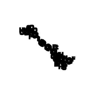 CCc1cc(Nc2ncc(Br)c(Nc3cnc4cc(F)ccc4c3P(C)(C)=O)n2)c(OC)cc1N1CCC(N2CCN(CCc3cc(F)c4c(c3)oc(=O)n4C3CCC(=O)NC3=O)CC2)CC1